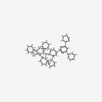 c1ccc(-c2nc(-c3ccccc3)nc(-c3cc(-c4ccccc4)c(C4c5ccccc5-c5c4ccc4c5sc5ccccc54)c(-c4ccccc4)c3)n2)cc1